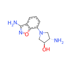 Nc1noc2c(N3C[C@H](N)[C@@H](O)C3)cccc12